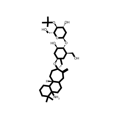 C=C1CC2CCC3(N)C(CCCC3(C)C)[C@@H]2CC[C@@]1(CC)O[C@@H]1C[C@H](CO)[C@@H](O[C@@H]2C[C@@H](O)[C@H](OC(C)(C)C)[C@@H](CO)O2)[C@H](O)C1